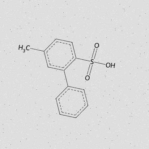 Cc1ccc(S(=O)(=O)O)c(-c2ccccc2)c1